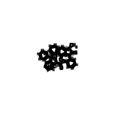 C[C@H](NC(c1ccccc1)(c1ccccc1)c1ccccc1)C(=O)Oc1ccccc1-n1c(=S)n(C)c2cccc(Cl)c21